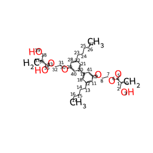 C=C(CO)C(=O)OCCOc1cc(CCCCC)cc(-c2cc(CCCCC)cc(OCCOC(O)C(=C)CO)c2)c1